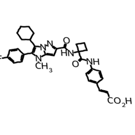 Cn1c(-c2ccc(F)cc2)c(C2CCCCC2)n2nc(C(=O)NC3(C(=O)Nc4ccc(/C=C/C(=O)O)cc4)CCC3)cc12